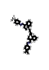 CN(C)c1ccc(/C=C/c2cc[n+](CCC[n+]3ccc(/C=C/c4ccc(N(C)C)cc4)c4ccccc43)c3ccccc23)cc1